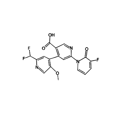 COc1cnc(C(F)F)cc1-c1cc(-n2cccc(F)c2=O)ncc1C(=O)O